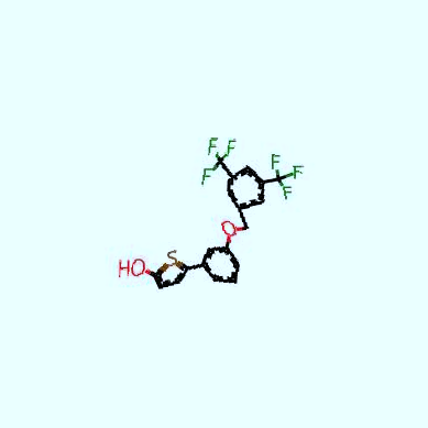 Oc1ccc(-c2cccc(OCc3cc(C(F)(F)F)cc(C(F)(F)F)c3)c2)s1